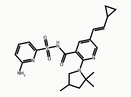 CC1CN(c2ncc(C=CC3CC3)cc2C(=O)NS(=O)(=O)c2cccc(N)n2)C(C)(C)C1